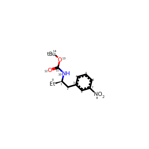 CC[C@H](Cc1cccc([N+](=O)[O-])c1)NC(=O)OC(C)(C)C